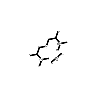 CC(C[N-]CC(C)N(C)C)N(C)C.[CH3][In+][CH3]